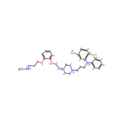 CC(C)NCCCOc1ccccc1OCCN1CCN(CCCN2c3ccccc3Sc3ccc(Cl)cc32)CC1